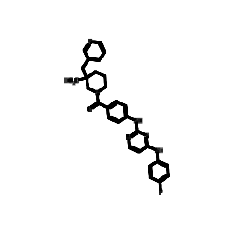 O=C(c1ccc(Nc2nccc(Nc3ccc(F)cc3)n2)cc1)N1CCCC(Cc2cccnc2)(C(=O)O)C1